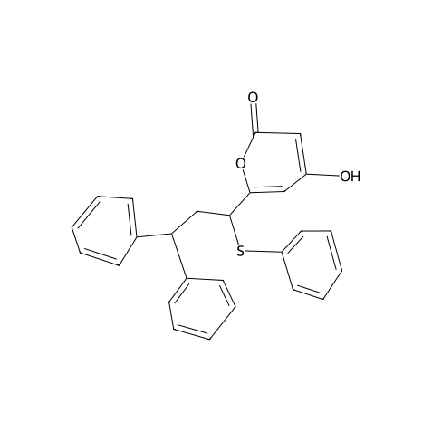 O=c1cc(O)cc(C(CC(c2ccccc2)c2ccccc2)Sc2ccccc2)o1